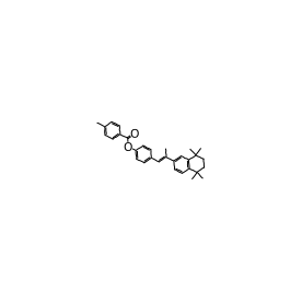 C/C(=C\c1ccc(OC(=O)c2ccc(C)cc2)cc1)c1ccc2c(c1)C(C)(C)CCC2(C)C